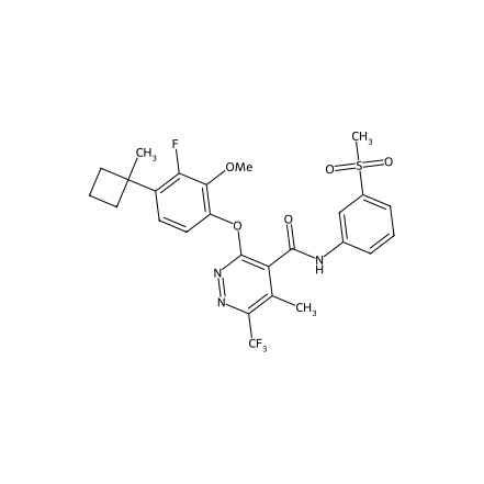 COc1c(Oc2nnc(C(F)(F)F)c(C)c2C(=O)Nc2cccc(S(C)(=O)=O)c2)ccc(C2(C)CCC2)c1F